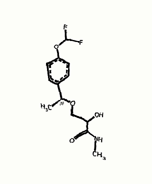 CNC(=O)C(O)CO[C@@H](C)c1ccc(OC(F)F)cc1